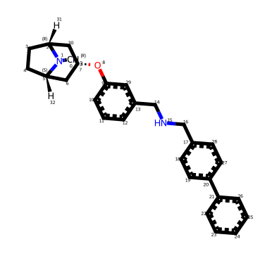 CN1[C@@H]2CC[C@H]1C[C@@H](Oc1cccc(CNCc3ccc(-c4ccccc4)cc3)c1)C2